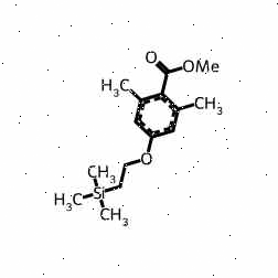 COC(=O)c1c(C)cc(OCC[Si](C)(C)C)cc1C